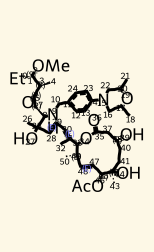 CC[C@H](OC)[C@@H](C)[C@H]1O[C@@H]1C(NCc1ccc(N2CC(C)OC(C)C2)cc1)C(C)(O)/C=C/C=C(\C)C1OC(=O)C[C@H](O)CC[C@@](C)(O)[C@@H](OC(C)=O)/C=C/[C@@H]1C